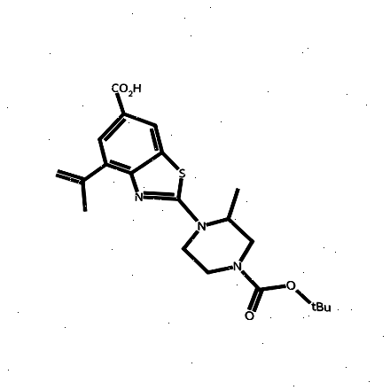 C=C(C)c1cc(C(=O)O)cc2sc(N3CCN(C(=O)OC(C)(C)C)CC3C)nc12